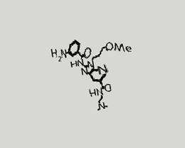 COCCCn1c(NC(=O)c2cccc(N)c2)nc2cc(C(=O)NCCN(C)C)cnc21